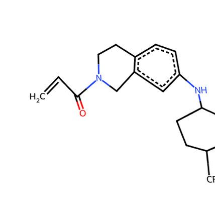 C=CC(=O)N1CCc2ccc(NC3CCC(C(F)(F)F)CC3)cc2C1